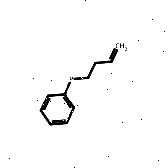 C=CCC[P]c1ccccc1